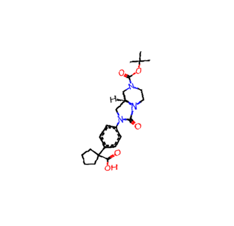 CC(C)(C)OC(=O)N1CCN2C(=O)N(c3ccc(C4(C(=O)O)CCCC4)cc3)C[C@@H]2C1